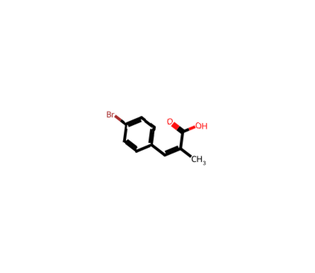 C/C(=C/c1ccc(Br)cc1)C(=O)O